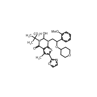 COc1ccccc1C(CN1c2sc(-c3ncco3)c(C)c2C(=O)N(C(C)(C)C(=O)O)C1O)OC1CCOCC1